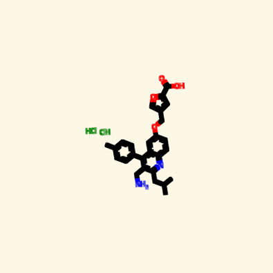 Cc1ccc(-c2c(CN)c(CC(C)C)nc3ccc(OCc4coc(C(=O)O)c4)cc23)cc1.Cl.Cl